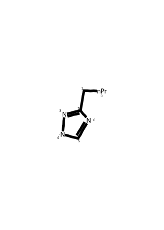 CCCCC1=N[N]C=N1